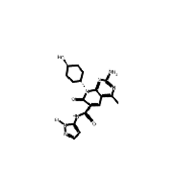 CCn1nccc1NC(=O)c1cc2c(C)nc(N)nc2n([C@H]2CC[C@H](O)CC2)c1=O